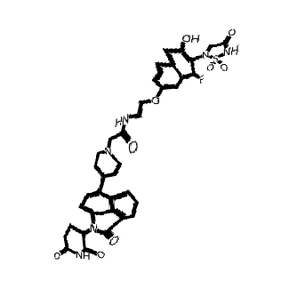 O=C(CN1CCC(c2ccc3c4c(cccc24)C(=O)N3C2CCC(=O)NC2=O)CC1)NCCOc1ccc2cc(O)c(N3CC(=O)NS3(=O)=O)c(F)c2c1